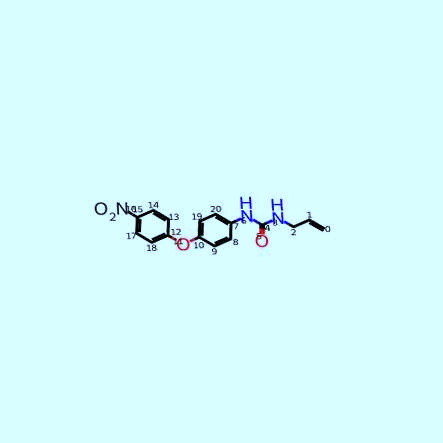 C=CCNC(=O)Nc1ccc(Oc2ccc([N+](=O)[O-])cc2)cc1